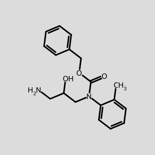 Cc1ccccc1N(CC(O)CN)C(=O)OCc1ccccc1